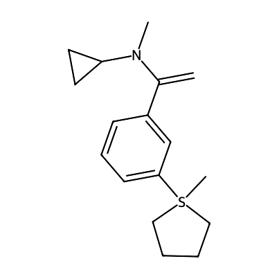 C=C(c1cccc(S2(C)CCCC2)c1)N(C)C1CC1